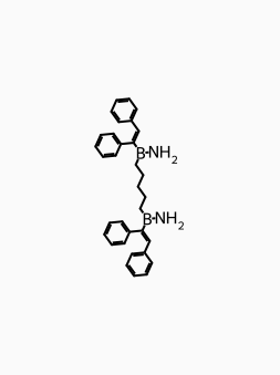 NB(CCCCCB(N)C(=Cc1ccccc1)c1ccccc1)C(=Cc1ccccc1)c1ccccc1